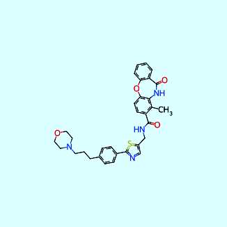 Cc1c(C(=O)NCc2cnc(-c3ccc(CCCN4CCOCC4)cc3)s2)ccc2c1NC(=O)c1ccccc1O2